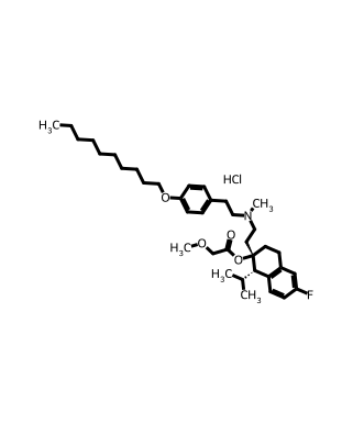 CCCCCCCCCCOc1ccc(CCN(C)CC[C@@]2(OC(=O)COC)CCc3cc(F)ccc3[C@@H]2C(C)C)cc1.Cl